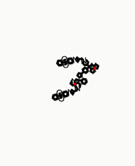 O=S(=O)(c1ccccc1)c1ccc(N2CC(CN3CCC(C(CN4CCCC4)(C4=CCCC4)c4ccc(C5=C[C@H](C(CN6CCCC6)(c6ccccc6)C6CCN(CC7CN(c8ccc(S(=O)(=O)c9ccccc9)cc8)C7)CC6)CC5)cc4)CC3)C2)cc1